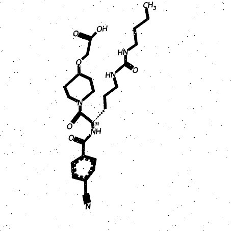 CCCCNC(=O)NCCC[C@H](NC(=O)c1ccc(C#N)cc1)C(=O)N1CCC(OCC(=O)O)CC1